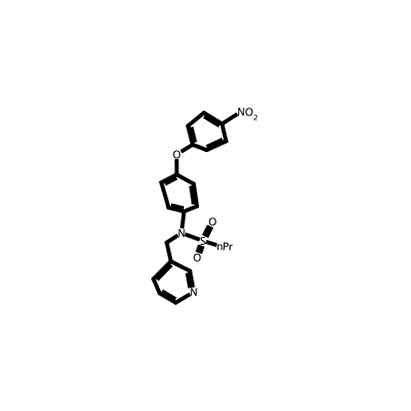 CCCS(=O)(=O)N(Cc1cccnc1)c1ccc(Oc2ccc([N+](=O)[O-])cc2)cc1